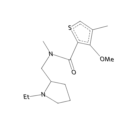 CCN1CCCC1CN(C)C(=O)c1scc(C)c1OC